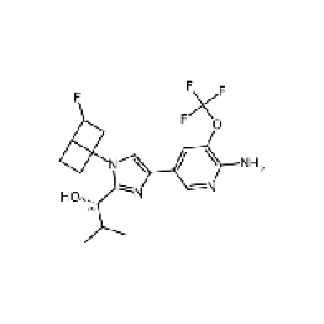 CC(C)[C@H](O)c1nc(-c2cnc(N)c(OC(F)(F)F)c2)cn1C12CCC1C(F)C2